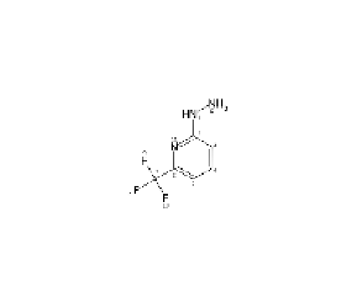 NNc1cccc(C(F)(F)F)n1